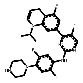 CC(C)N1C=CCc2c(F)cc(-c3nc(Nc4cc(F)c(N5CCNCC5)cc4F)ncc3F)cc21